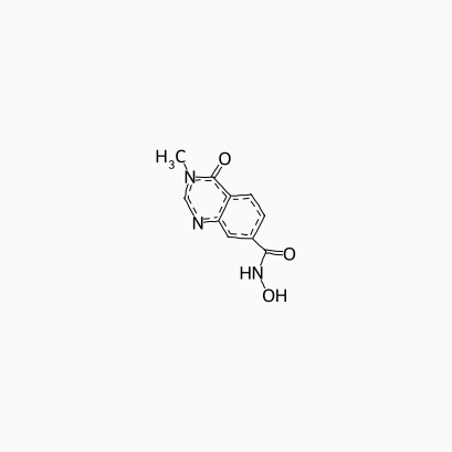 Cn1cnc2cc(C(=O)NO)ccc2c1=O